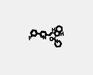 O=C([C@H]1C[C@H]2CCCC[C@H]2[C@@H]1C=Cc1ccc(-c2cccc(F)c2)cn1)N1CCCCC1